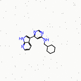 c1cnc2[nH]cc(-c3cc(NCC4CCCCC4)ncn3)c2c1